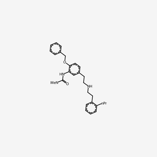 CCCc1ccccc1CCNCCc1ccc(OCc2ccccc2)c(NC(=O)NC)c1